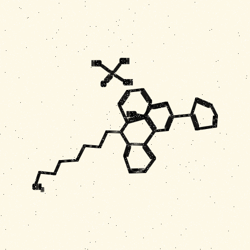 CCCCCCCCC(c1ccccc1)c1ccccc1-c1cc(-c2ccccc2)ccc1O.O=P(O)(O)O